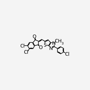 Cn1c(-c2ccc(Cl)cc2)nc2sc(C=C3C(=O)c4cc(Cl)c(Cl)cc4C3=O)cc21